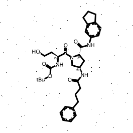 CC(C)(C)OC(=O)N[C@@H](CCO)C(=O)N1C[C@H](NC(=O)CCCc2ccccc2)C[C@H]1C(=O)Nc1ccc2c(c1)CCC2